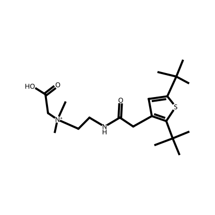 CC(C)(C)c1cc(CC(=O)NCC[N+](C)(C)CC(=O)O)c(C(C)(C)C)s1